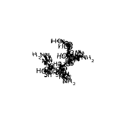 Nc1ncnc2c1ncn2[C@@H]1O[C@H](COP(O)(=S)OC2C(O)[C@@H](COP(O)(=S)OC3C(O)[C@@H](COP(=O)(O)OCCO)O[C@H]3n3cnc4c(N)ncnc43)O[C@H]2n2cnc3c(N)ncnc32)C(O)C1OP(=O)(O)S